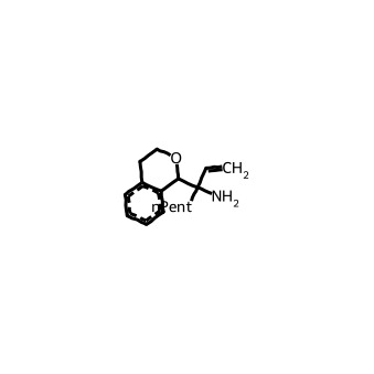 C=CC(N)(CCCCC)C1OCCc2ccccc21